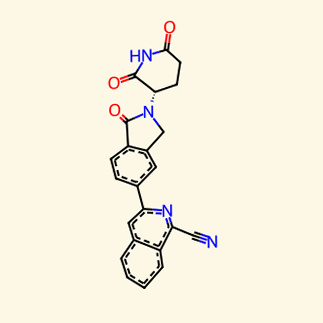 N#Cc1nc(-c2ccc3c(c2)CN([C@H]2CCC(=O)NC2=O)C3=O)cc2ccccc12